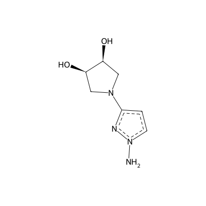 Nn1ccc(N2C[C@@H](O)[C@@H](O)C2)n1